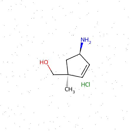 C[C@@]1(CO)C=C[C@H](N)C1.Cl